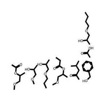 CC(=O)CC(C)C.CC(=O)O.CCC(=O)OC(C)COC.CCCCOCC(C)O.CCCOCC(C)O.COCC(C)O.COCC(C)OC(C)=O.OCc1ccccc1